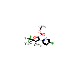 CCOC(=O)[C@H]1O[C@@](C)(C(F)(F)F)[C@@H](C)[C@H]1c1ccc(F)cn1